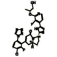 CC(CO)Oc1nccc(-c2cnc([C@@H]3CC[C@@H]4CC(c5c(-n6cnnn6)ccc(Cl)c5F)=CC(=O)N43)[nH]2)c1F